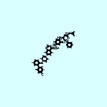 O=C(CC(CSc1ccccc1)Nc1ccc(S(=O)(=O)Nc2ncnc3cc(N4CCN(Cc5ccccc5-c5ccc(Cl)cc5)CC4)ccc23)cc1[N+](=O)[O-])NC1CC1